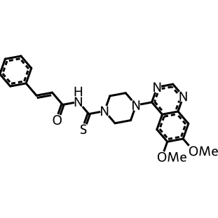 COc1cc2ncnc(N3CCN(C(=S)NC(=O)C=Cc4ccccc4)CC3)c2cc1OC